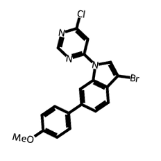 COc1ccc(-c2ccc3c(Br)cn(-c4cc(Cl)ncn4)c3c2)cc1